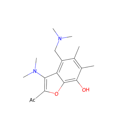 CC(=O)c1oc2c(O)c(C)c(C)c(CN(C)C)c2c1N(C)C